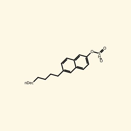 CCCCCCCCCCCCCCc1ccc2cc(O[SH](=O)=O)ccc2c1